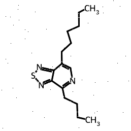 CCCCCCc1cnc(CCCC)c2nsnc12